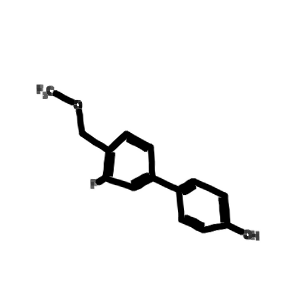 Oc1ccc(-c2ccc(COC(F)(F)F)c(F)c2)cc1